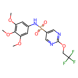 COc1cc(NS(=O)(=O)c2cnc(OCC(F)(F)F)nc2)cc(OC)c1OC